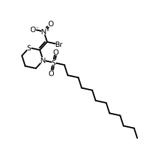 CCCCCCCCCCCCS(=O)(=O)N1CCCSC1=C(Br)[N+](=O)[O-]